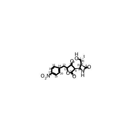 C[C@@H](O)[C@H]1C(=O)N[C@H]1C1C(=O)OC(Cc2ccc([N+](=O)[O-])cc2)C1=O